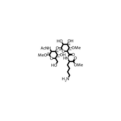 COC(=O)C(CCCCN)NC(=O)C1O[C@@H](O[C@@H]2C(NC(C)=O)[C@H](OC)OC(CO)[C@H]2O)C(O)[C@@H](O)[C@@H]1OC